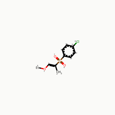 CCOC=C(C)S(=O)(=O)c1ccc(Cl)cc1